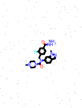 CN1CCN(C(=O)N(Cc2ccc(C(=O)NN)cc2F)c2ccc3cnn(C)c3c2)CC1